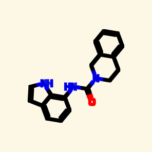 O=C(Nc1cccc2cc[nH]c12)N1CCc2ccccc2C1